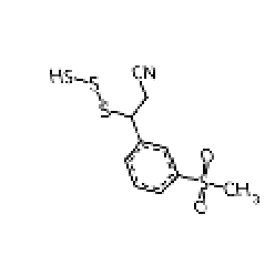 CS(=O)(=O)c1cccc(C(CC#N)SSS)c1